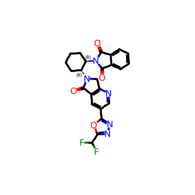 O=C1c2cc(-c3nnc(C(F)F)o3)cnc2CN1[C@@H]1CCCC[C@H]1N1C(=O)c2ccccc2C1=O